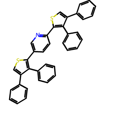 c1ccc(-c2csc(-c3ccc(-c4scc(-c5ccccc5)c4-c4ccccc4)nc3)c2-c2ccccc2)cc1